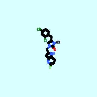 CCn1c(Cc2ccc(Cl)cc2Cl)cn(Cc2cc3nc(F)ccc3[nH]2)c1=O